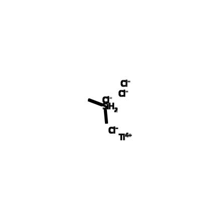 C[SiH2]C.[Cl-].[Cl-].[Cl-].[Cl-].[Ti+4]